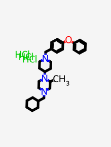 CC1CN(CC2CCCCC2)CCN1C1CCN(Cc2ccc(Oc3ccccc3)cc2)CC1.Cl.Cl.Cl